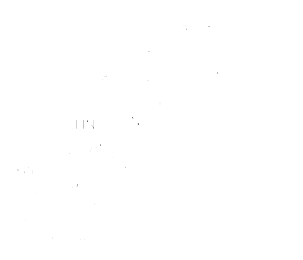 CC(C)(O)c1ccc(Cc2cnc(NC(=O)c3coc4ccccc34)s2)cc1